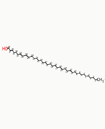 [CH2]CCCCCCCCCCCCCCCCCCCCCCCCCCCCCCCCCCCCCCO